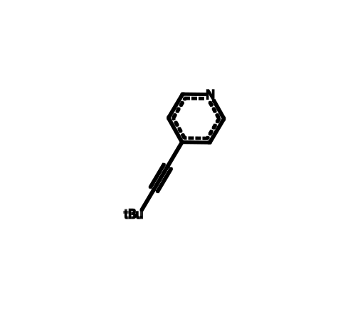 CC(C)(C)C#Cc1ccncc1